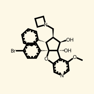 COc1cncc2c1[C@]1(O)[C@H](O)[C@H](CN3CCC3)[C@@H](c3ccccc3)[C@]1(c1ccc(Br)cc1)O2